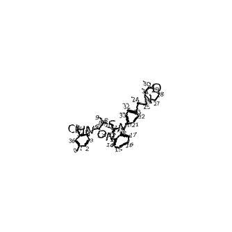 Cc1ccc(NC(=O)[C@@H](C)Sc2nc3ccccc3n2-c2ccc(CCN3CCOCC3)cc2)c(Cl)c1